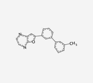 Cc1cccc(-c2cccc(-c3cc4nccnc4o3)c2)c1